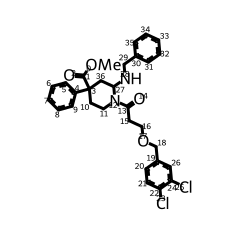 COC(=O)C1(c2ccccc2)CCN(C(=O)CCOCc2ccc(Cl)c(Cl)c2)C(NCc2ccccc2)C1